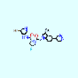 CC(=O)c1cn(CC(=O)N2C[C@H](F)CC2C(=O)Nc2cncc(Br)c2)c2ccc(-c3ccnnc3)cc12